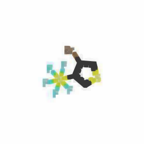 FS(F)(F)(F)(F)c1cscc1Br